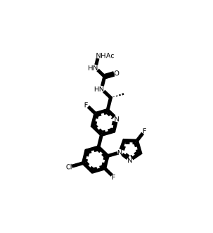 CC(=O)NNC(=O)N[C@H](C)c1ncc(-c2cc(Cl)cc(F)c2-n2cc(F)cn2)cc1F